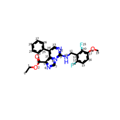 CCOC(=O)c1ncn2c(NCc3c(F)ccc(OC)c3F)ncc(-c3ccccc3)c12